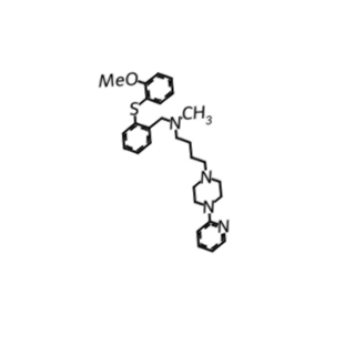 COc1ccccc1Sc1ccccc1CN(C)CCCCN1CCN(c2ccccn2)CC1